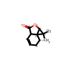 CCC1(C)C2OC(=O)C3C=CCCC321